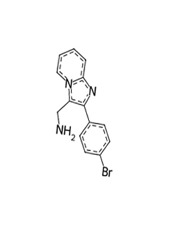 NCc1c(-c2ccc(Br)cc2)nc2ccccn12